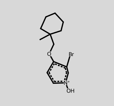 CC1(COc2cc[n+](O)cc2Br)CCCCC1